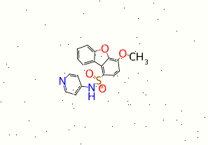 COc1ccc(S(=O)(=O)Nc2ccncc2)c2c1oc1ccccc12